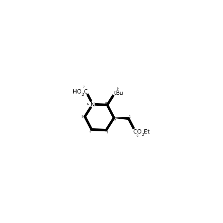 CCOC(=O)C[C@H]1CCCN(C(=O)O)C1C(C)(C)C